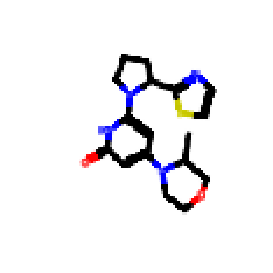 CC1COCCN1c1cc(N2CCCC2c2nccs2)[nH]c(=O)c1